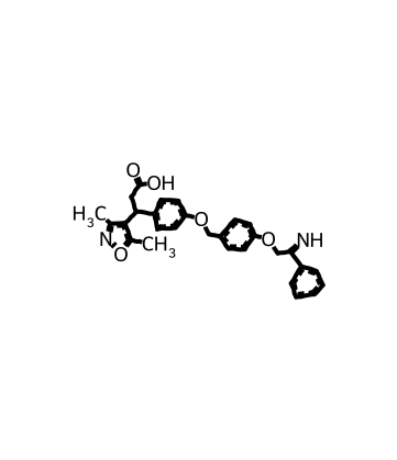 Cc1noc(C)c1C(CC(=O)O)c1ccc(OCc2ccc(OCC(=N)c3ccccc3)cc2)cc1